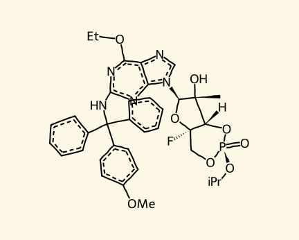 CCOc1nc(NC(c2ccccc2)(c2ccccc2)c2ccc(OC)cc2)nc2c1ncn2[C@@H]1O[C@]2(F)CO[P@](=O)(OC(C)C)O[C@H]2[C@@]1(C)O